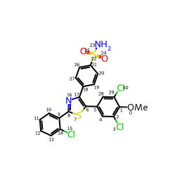 COc1c(Cl)cc(-c2sc(-c3ccccc3Cl)nc2-c2ccc(S(N)(=O)=O)cc2)cc1Cl